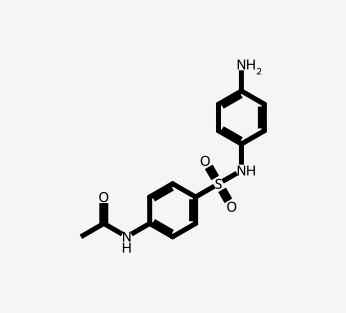 CC(=O)Nc1ccc(S(=O)(=O)Nc2ccc(N)cc2)cc1